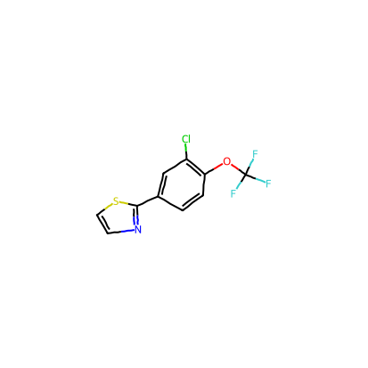 FC(F)(F)Oc1ccc(-c2nccs2)cc1Cl